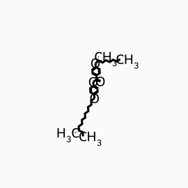 CCCCCC[C@@H](C)Oc1ccc(C(=O)Oc2ccc(OCCCCCCCCC[C@@H](C)CC)cc2)cc1